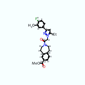 CCc1cc(-c2ccc(F)c(C)c2)nn1CC(=O)N1CCc2ccc(C(=O)OC)cc2CC1